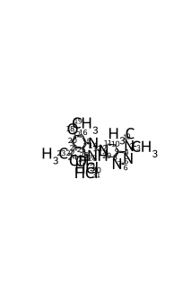 CCN(C)c1ncnc2c1CCN(c1nc3cc(OC)cc(C(C)C)c3c(=O)[nH]1)C2.Cl.Cl